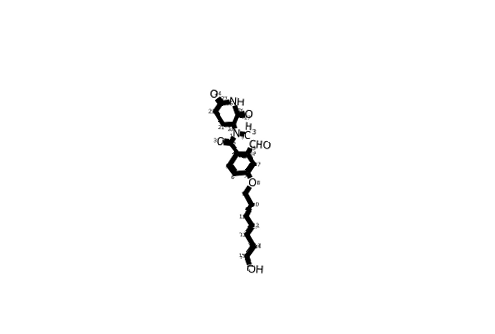 CN(C(=O)c1ccc(OCCCCCCCO)cc1C=O)C1CCC(=O)NC1=O